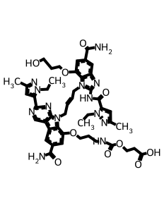 CCn1nc(C)cc1C(=O)Nc1nc2cc(C(N)=O)cc(OCCCO)c2n1C/C=C/Cn1c2nc(-c3cc(C)nn3CC)ncc2c2cc(C(N)=O)cc(OCCCNC(=O)OCCC(=O)O)c21